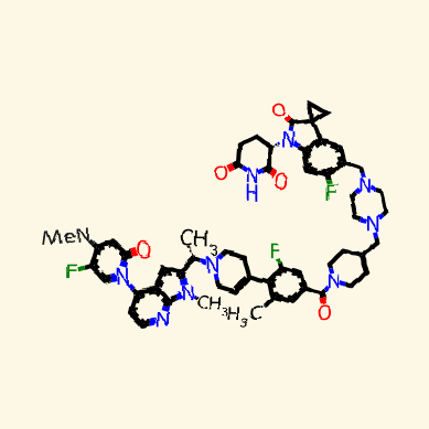 CNc1cc(=O)n(-c2ccnc3c2cc([C@H](C)N2CC=C(c4c(C)cc(C(=O)N5CCC(CN6CCN(Cc7cc8c(cc7F)N([C@H]7CCC(=O)NC7=O)C(=O)C87CC7)CC6)CC5)cc4F)CC2)n3C)cc1F